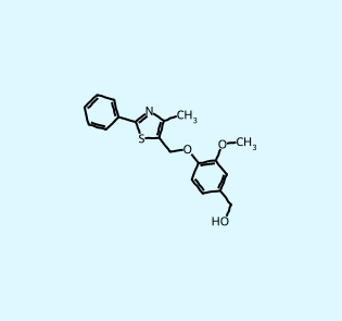 COc1cc(CO)ccc1OCc1sc(-c2ccccc2)nc1C